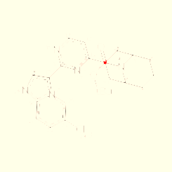 CC(C)(C)OC(=O)N1C2CCCC1CC(c1ccnc(-c3cnc4ccc(C(F)(F)F)cn34)n1)C2